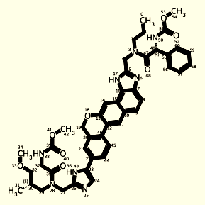 CCCN(Cc1nc2ccc3cc4c(cc3c2[nH]1)OCc1cc(-c2cnc(CN(C[C@H](C)COC)C(=O)CNC(=O)OC)[nH]2)ccc1-4)C(=O)[C@H](NC(=O)OC)c1ccccc1